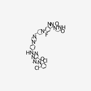 CN1CN(c2c(Cl)cccc2Cl)C(=O)c2cnc(Nc3ccc(N4CCN(CC5CCN(c6cc7c(cc6F)c(N6CCC(=O)NC6=O)nn7C)CC5)CC4)cc3)nc21